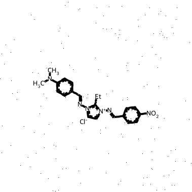 CCc1n(N=Cc2ccc(N(C)C)cc2)cc[n+]1N=Cc1ccc([N+](=O)[O-])cc1.[Cl-]